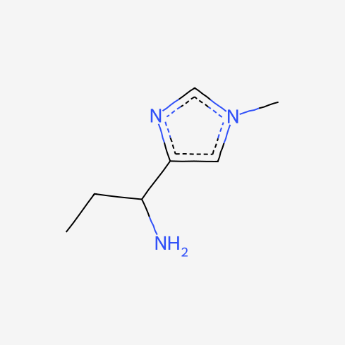 CCC(N)c1cn(C)cn1